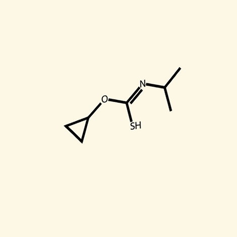 CC(C)/N=C(\S)OC1CC1